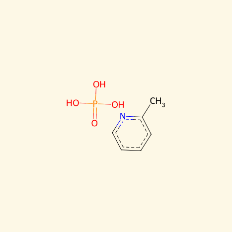 Cc1ccccn1.O=P(O)(O)O